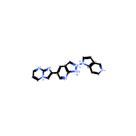 c1cnc2nc(-c3cnc4[nH][n+](-n5ccc6cnccc65)cc4c3)cn2c1